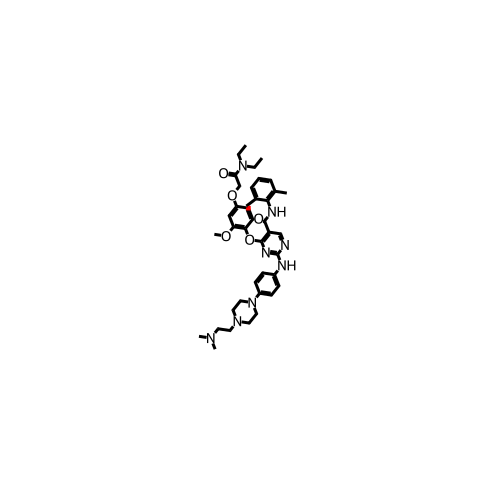 CCN(CC)C(=O)COc1ccc(Oc2nc(Nc3ccc(N4CCN(CCN(C)C)CC4)cc3)ncc2C(=O)Nc2c(C)cccc2C)c(OC)c1